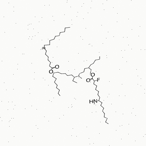 CCCCCCCCCC[C@@H](C)CCCCCCC(=O)OC(CCCCCCCC)CCCCCC(CC)C(C)CCCC(CCCCC)CCOC(=O)C(F)CCCCCCC(CCCCCCCCC)NC